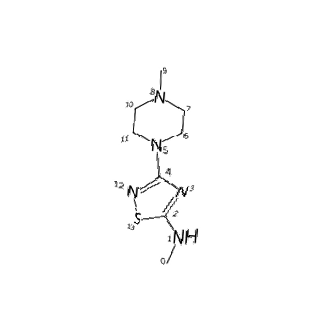 CNc1nc(N2CCN(C)CC2)ns1